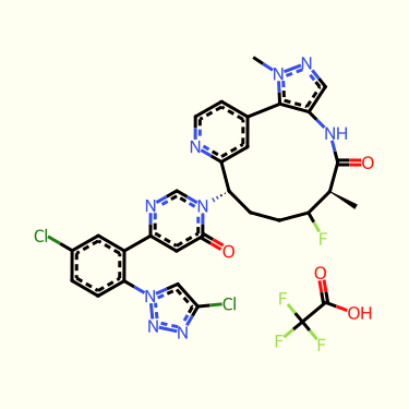 C[C@@H]1C(=O)Nc2cnn(C)c2-c2ccnc(c2)[C@@H](n2cnc(-c3cc(Cl)ccc3-n3cc(Cl)nn3)cc2=O)CCC1F.O=C(O)C(F)(F)F